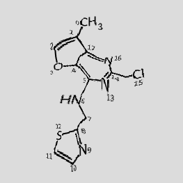 Cc1coc2c(NCc3nccs3)nc(Cl)nc12